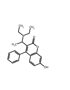 CCN(CC)C(C)c1c(-c2ccccc2)c2ccc(O)cc2oc1=O